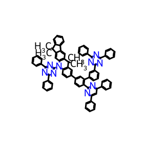 CC1(C)c2ccccc2-c2cc3c(cc21)N(c1nc(-c2ccccc2)nc(-c2ccccc2)n1)c1ccc(-c2ccc(-c4nc(-c5ccccc5)cc(-c5ccccc5)n4)c(-c4cccc(-c5nc(-c6ccccc6)nc(-c6ccccc6)n5)c4)c2)cc1C3(C)C